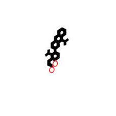 CC(C)c1c2ccccc2cc2ccc(-c3ccc4oc(=O)ccc4c3C(C)C)cc12